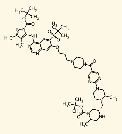 Cc1nn(C(=O)OC(C)(C)C)c(Nc2ncnc3cc(OCCCN4CCN(C(=O)c5cnc(N6CCN(C[C@H]7CN(C(=O)OC(C)(C)C)[C@H](C)CN7)C(C)C6)nc5)CC4)c(S(=O)(=O)C(C)(C)C)cc23)c1C